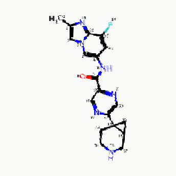 Cc1cn2cc(NC(=O)c3cnc([C@]45CCNCC4C5)cn3)cc(F)c2n1